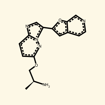 C[C@H](N)COc1ccc2ncc(-c3cc4ccncc4o3)n2n1